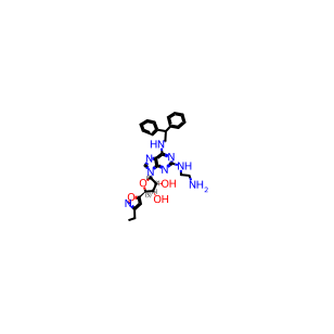 CCc1cc([C@H]2O[C@@H](n3cnc4c(NCC(c5ccccc5)c5ccccc5)nc(NCCN)nc43)[C@H](O)[C@@H]2O)on1